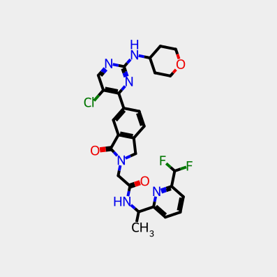 CC(NC(=O)CN1Cc2ccc(-c3nc(NC4CCOCC4)ncc3Cl)cc2C1=O)c1cccc(C(F)F)n1